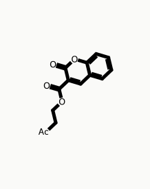 CC(=O)CCOC(=O)c1cc2ccccc2oc1=O